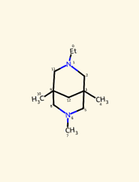 CCN1CC2(C)CN(C)CC(C)(C1)C2